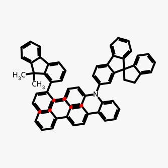 CC1(C)c2ccccc2-c2cccc(-c3ccccc3-c3ccc(N(c4ccc5c(c4)C4(CCc6ccccc64)c4ccccc4-5)c4ccccc4-c4ccc5c(ccc6ccccc65)c4)cc3)c21